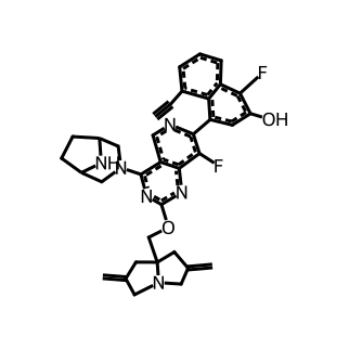 C#Cc1cccc2c(F)c(O)cc(-c3ncc4c(N5CC6CCC(C5)N6)nc(OCC56CC(=C)CN5CC(=C)C6)nc4c3F)c12